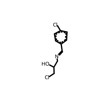 OC(CCl)C/N=C/c1ccc(Cl)cc1